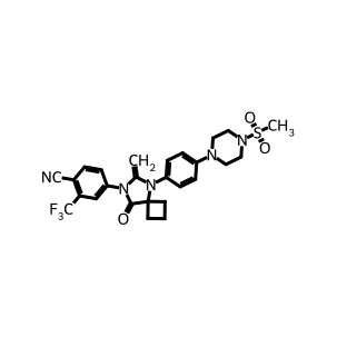 C=C1N(c2ccc(C#N)c(C(F)(F)F)c2)C(=O)C2(CCC2)N1c1ccc(N2CCN(S(C)(=O)=O)CC2)cc1